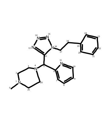 CN1CCN(C(c2ccccn2)c2nnnn2CCc2ccccc2)CC1